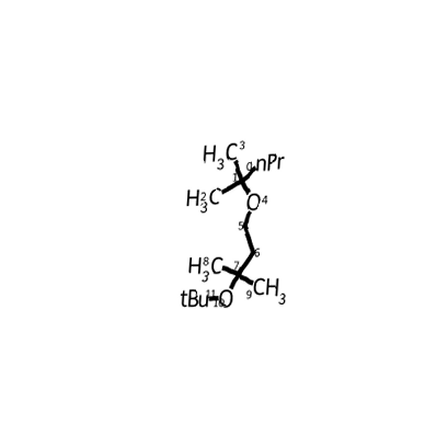 CCCC(C)(C)OCCC(C)(C)OC(C)(C)C